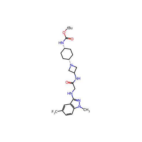 Cn1nc(NCC(=O)NC2CN([C@H]3CC[C@@H](NC(=O)OC(C)(C)C)CC3)C2)c2cc(C(F)(F)F)ccc21